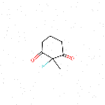 CC1(F)C(=O)CCCC1=O